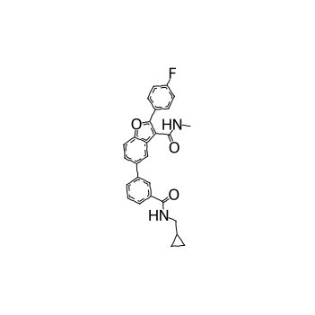 CNC(=O)c1c(-c2ccc(F)cc2)oc2ccc(-c3cccc(C(=O)NCC4CC4)c3)cc12